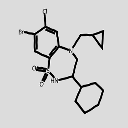 O=S1(=O)NC(C2CCCCC2)CN(CC2CC2)c2cc(Cl)c(Br)cc21